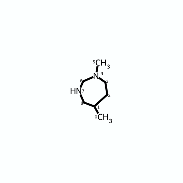 CC1CCN(C)CNC1